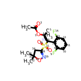 CC(=O)O/C(C)=C(/c1c(F)cccc1F)S(=O)(=O)C1=NOC(C)(C)C1